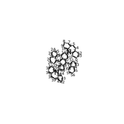 C1=CC2=C(C=Cc3ccccc3N2c2ccc3c(-c4cccc5ccccc45)c4cc(N5c6ccccc6C=Cc6ccccc65)ccc4c(-c4cccc5ccccc45)c3c2)CC1